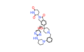 CC(C)c1cnc(N[C@@H]2CCCN(c3cccc(CN4CCC(O)(c5ccc6c(c5)CN(C5CCC(=O)NC5=O)C6=O)CC4)c3)C2)nc1